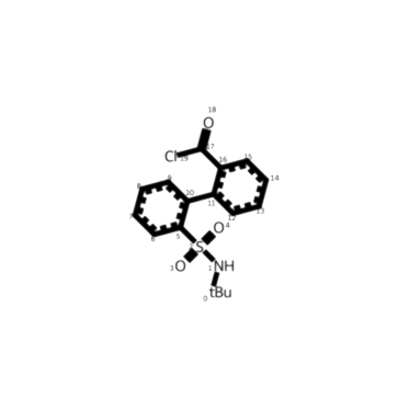 CC(C)(C)NS(=O)(=O)c1ccccc1-c1ccccc1C(=O)Cl